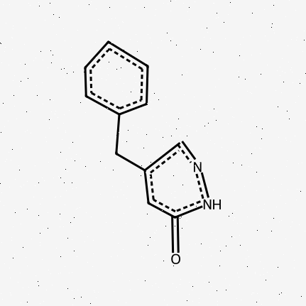 O=c1cc(Cc2ccccc2)cn[nH]1